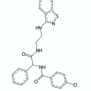 O=C(NC(C(=O)NCCNc1nsc2ccccc12)c1ccccc1)c1ccc(Cl)cc1